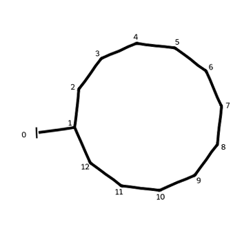 IC1CCCCCCCCCCC1